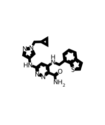 NC(=O)c1nnc(Nc2cnn(CC3CC3)c2)cc1NCc1cccc2ccsc12